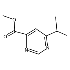 COC(=O)c1cc(C(C)C)ncn1